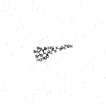 O=C(O)c1c(Br)c(Br)c(Br)c(Br)c1C(=O)OCC(O)CCCOCCO